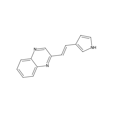 C(=C\c1cnc2ccccc2n1)/c1cc[nH]c1